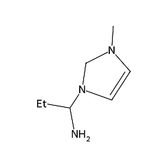 CCC(N)N1C=CN(C)C1